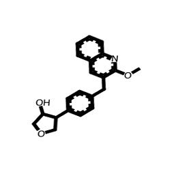 COc1nc2ccccc2cc1Cc1ccc(C2COCC2O)cc1